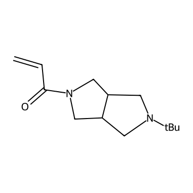 C=CC(=O)N1CC2CN(C(C)(C)C)CC2C1